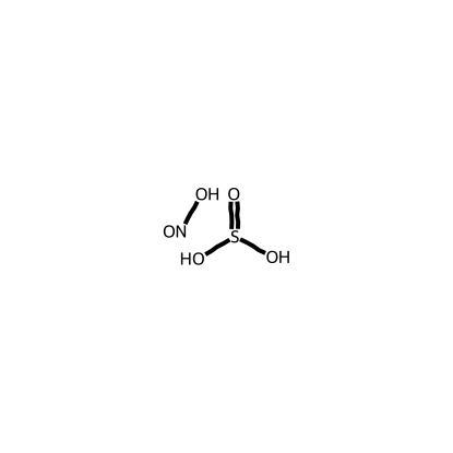 O=NO.O=S(O)O